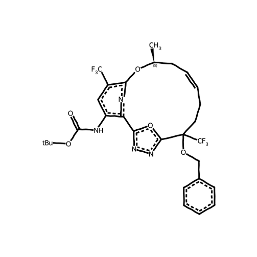 C[C@H]1CC=CCCC(OCc2ccccc2)(C(F)(F)F)c2nnc(o2)-c2nc(c(C(F)(F)F)cc2NC(=O)OC(C)(C)C)O1